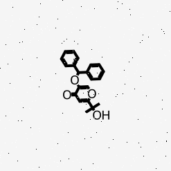 CC(C)(O)c1cc(=O)c(OC(c2ccccc2)c2ccccc2)co1